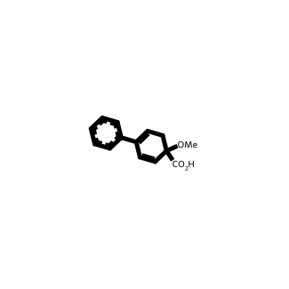 COC1(C(=O)O)C=CC(c2ccccc2)=CC1